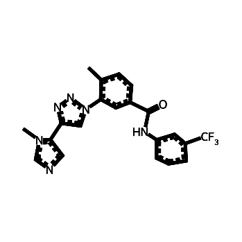 Cc1ccc(C(=O)Nc2cccc(C(F)(F)F)c2)cc1-n1cc(-c2cncn2C)nn1